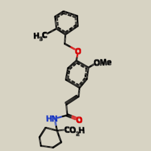 COc1cc(/C=C/C(=O)NC2(C(=O)O)CCCCC2)ccc1OCc1ccccc1C